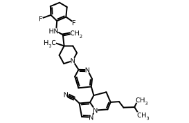 C=C(NC1=C(F)CCC=C1F)C1(C)CCN(c2ccc(C3CC(CCC(C)C)=Cn4ncc(C#N)c43)cn2)CC1